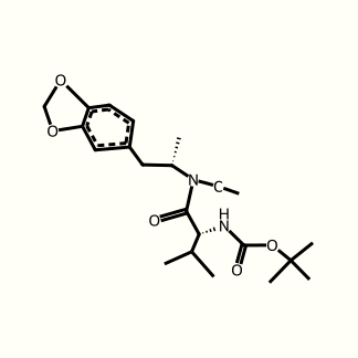 CCN(C(=O)[C@H](NC(=O)OC(C)(C)C)C(C)C)[C@@H](C)Cc1ccc2c(c1)OCO2